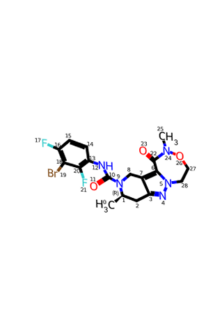 C[C@@H]1Cc2nn3c(c2CN1C(=O)Nc1ccc(F)c(Br)c1F)C(=O)N(C)OCC3